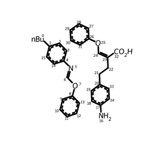 CCCCc1ccc(N=COc2ccccc2)cc1.Nc1ccc(CCC(=COc2ccccc2)C(=O)O)cc1